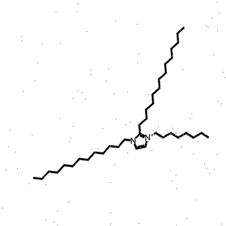 CCCCCCCCCCCCCCc1n(CCCCCCCCCCCCC)cc[n+]1CCCCCCCC